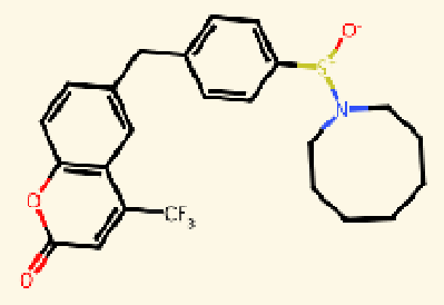 O=c1cc(C(F)(F)F)c2cc(Cc3ccc([S+]([O-])N4CCCCCCC4)cc3)ccc2o1